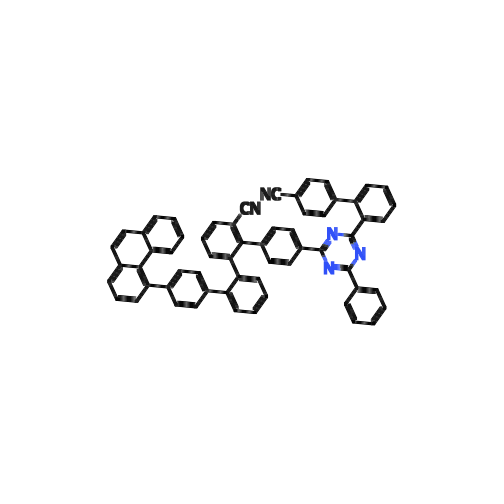 N#Cc1ccc(-c2ccccc2-c2nc(-c3ccccc3)nc(-c3ccc(-c4c(C#N)cccc4-c4ccccc4-c4ccc(-c5cccc6ccc7ccccc7c56)cc4)cc3)n2)cc1